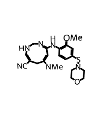 CN/C1=C/C(Nc2ccc(SN3CCOCC3)cc2OC)=N\CN/C=C(/C#N)C1